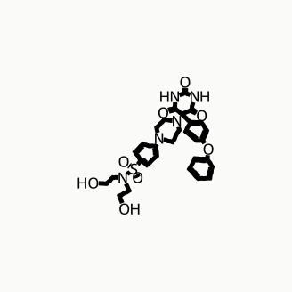 O=C1NC(=O)C(c2ccc(Oc3ccccc3)cc2)(N2CCN(c3ccc(S(=O)(=O)N(CCO)CCO)cc3)CC2)C(=O)N1